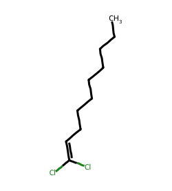 CCCCCCCCC=C(Cl)Cl